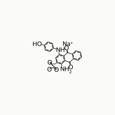 Nc1c(S(=O)(=O)[O-])cc(Nc2ccc(O)cc2)c2c1C(=O)c1ccccc1C2=O.[Na+]